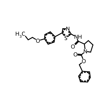 CCCOc1ccc(-c2cnc(NC(=O)C3CCCN3C(=O)OCc3ccccc3)s2)cc1